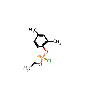 CCOP(=S)(Cl)Oc1ccc(C)cc1C